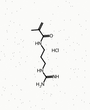 C=C(C)C(=O)NCCCNC(=N)N.Cl